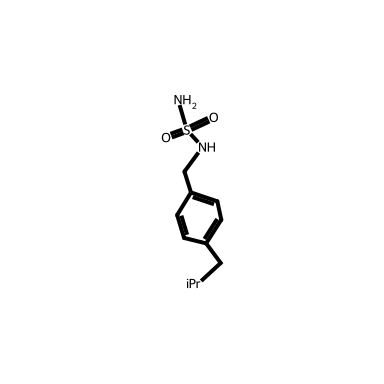 CC(C)Cc1ccc(CNS(N)(=O)=O)cc1